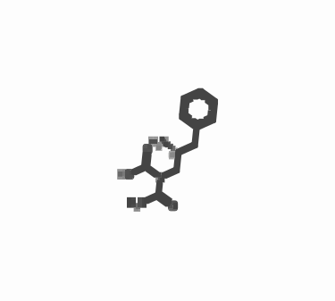 NC(=O)N(C[C@H](N)Cc1ccccc1)C(=O)O